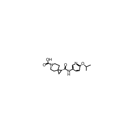 CC(C)Oc1ccc(NC(=O)[C@H]2CC23CCN(C(=O)O)CC3)cn1